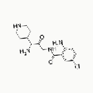 Nc1ccc(Cl)cc1C(=O)NCC(=O)C(N)C1CCNCC1